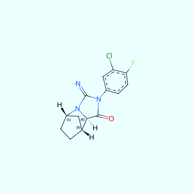 [N]=C1N(c2ccc(F)c(Cl)c2)C(=O)[C@H]2[C@@H]3CC[C@@H](C3)N12